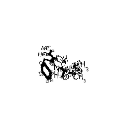 CN(c1nc(C(=O)NC(Cc2ccccc2)C(O)C(O)CC#N)co1)S(C)(=O)=O